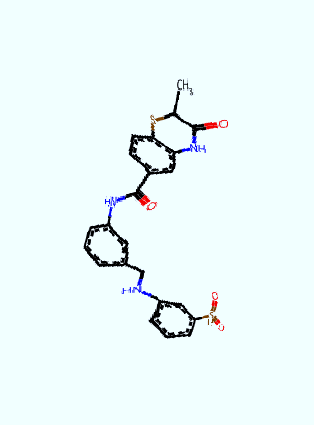 CC1Sc2ccc(C(=O)Nc3cccc(CNc4cccc([SH](=O)=O)c4)c3)cc2NC1=O